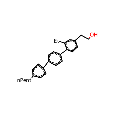 CCCCCc1ccc(-c2ccc(-c3ccc(CCO)cc3CC)cc2)cc1